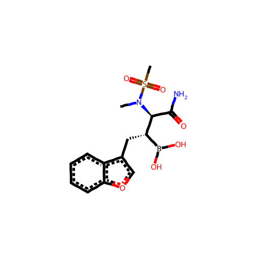 CN([C@@H](C(N)=O)[C@@H](Cc1coc2ccccc12)B(O)O)S(C)(=O)=O